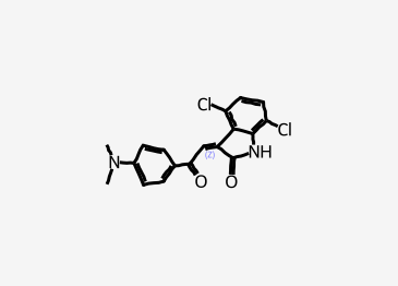 CN(C)c1ccc(C(=O)/C=C2\C(=O)Nc3c(Cl)ccc(Cl)c32)cc1